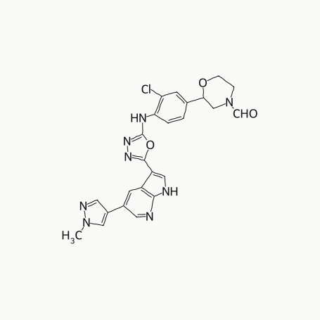 Cn1cc(-c2cnc3[nH]cc(-c4nnc(Nc5ccc(C6CN(C=O)CCO6)cc5Cl)o4)c3c2)cn1